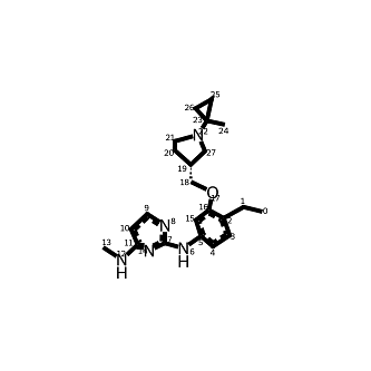 CCc1ccc(Nc2nccc(NC)n2)cc1OC[C@@H]1CCN(C2(C)CC2)C1